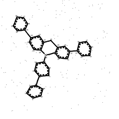 c1ccc(-c2ccc(N3c4ccc(-c5ccccc5)cc4Cc4cc(-c5ccccc5)ccc43)cc2)cc1